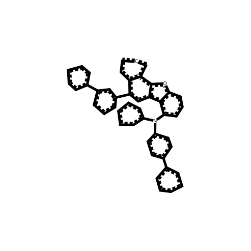 c1ccc(-c2ccc(N(c3ccccc3)c3cccc4oc5c6ccccc6c(-c6cccc(-c7ccccc7)c6)cc5c34)cc2)cc1